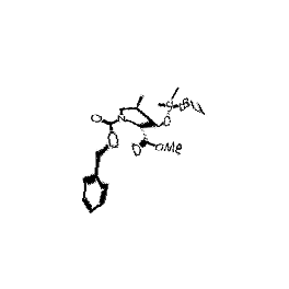 COC(=O)[C@H]1[C@H](O[Si](C)(C)C(C)(C)C)[C@H](C)CN1C(=O)OCc1ccccc1